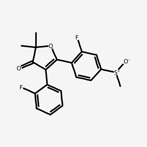 C[S+]([O-])c1ccc(C2=C(c3ccccc3F)C(=O)C(C)(C)O2)c(F)c1